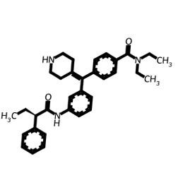 CC[C@@H](C(=O)Nc1cccc(C(=C2CCNCC2)c2ccc(C(=O)N(CC)CC)cc2)c1)c1ccccc1